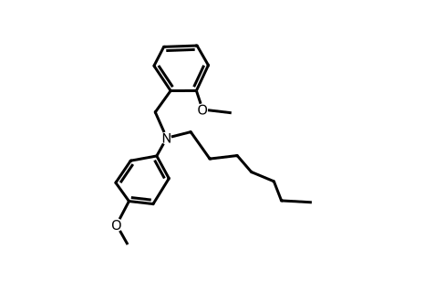 CCCCCCCN(Cc1ccccc1OC)c1ccc(OC)cc1